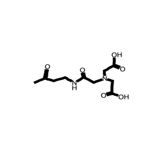 CC(=O)CCNC(=O)CN(CC(=O)O)CC(=O)O